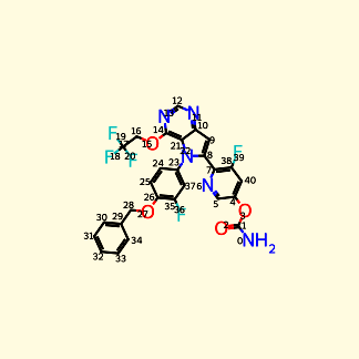 NC(=O)Oc1cnc(-c2cc3ncnc(OCC(F)(F)F)c3n2-c2ccc(OCc3ccccc3)c(F)c2)c(F)c1